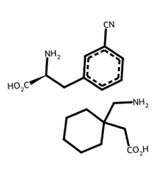 N#Cc1cccc(C[C@H](N)C(=O)O)c1.NCC1(CC(=O)O)CCCCC1